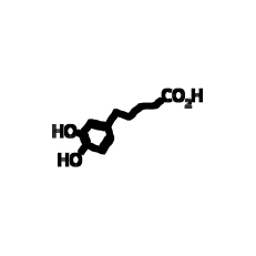 O=C(O)CCCCc1ccc(O)c(O)c1